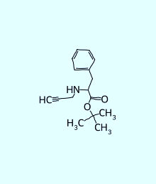 C#CCNC(Cc1ccccc1)C(=O)OC(C)(C)C